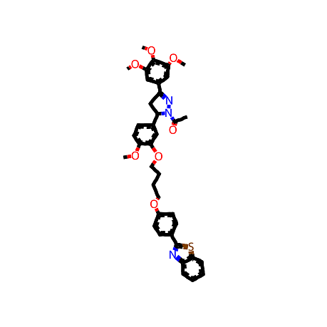 COc1ccc(C2CC(c3cc(OC)c(OC)c(OC)c3)=NN2C(C)=O)cc1OCCCCOc1ccc(-c2nc3ccccc3s2)cc1